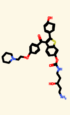 NCCC(O)CCNC(=O)Oc1ccc2c(C(=O)c3ccc(OCCN4CCCCC4)cc3)c(-c3ccc(O)cc3)sc2c1